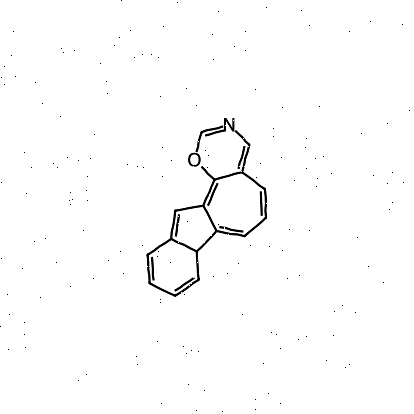 C1=CC2=CN=COC2=C2C=C3C=CC=CC3C2=C1